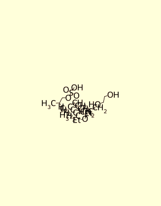 C=C.C=C.C=C.C=C.C=C.CC(C)COS(=O)(=O)O.CCOCC.OCCO